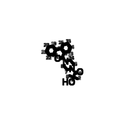 CC(C)(O)C(=O)N1CCN(C(=O)c2ccccc2-c2ccccc2)CC1